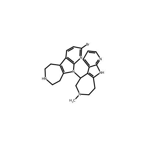 CN1CCc2[nH]c3ncccc3c2C(n2c3c(c4ccc(Br)nc42)CCNCC3)C1